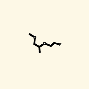 COCC(C)OCCF